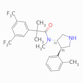 Cc1ccccc1[C@@H]1CNC[C@H]1N(C)C(=O)C(C)(C)c1cc(C(F)(F)F)cc(C(F)(F)F)c1